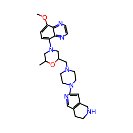 COc1ccc(N2CC(C)OC(CN3CCN(c4cc5c(cn4)CCNC5)CC3)C2)c2nccnc12